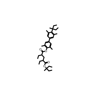 CCC(CC(CC)C(=O)OC(C)(CC)CC)C(=O)Oc1c(C)cc(-c2cc(C)c(C(C)(CC)CC)c(C)c2)cc1C